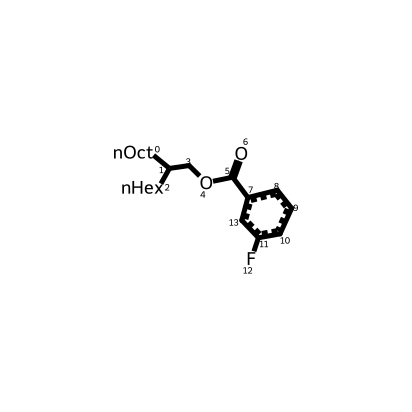 CCCCCCCCC(CCCCCC)COC(=O)c1cccc(F)c1